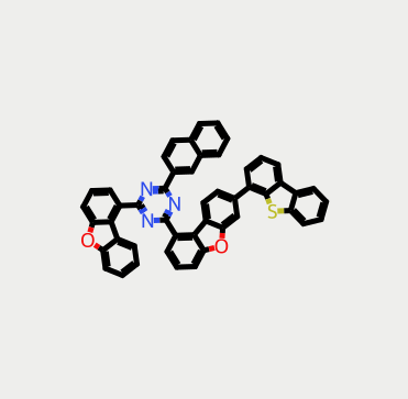 c1ccc2cc(-c3nc(-c4cccc5oc6ccccc6c45)nc(-c4cccc5oc6cc(-c7cccc8c7sc7ccccc78)ccc6c45)n3)ccc2c1